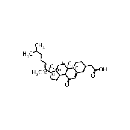 CC(C)CCC[C@@H](C)[C@H]1CCC2C3C(=O)C=C4CC(CC(=O)O)CC[C@]4(C)C3CC[C@@]21C